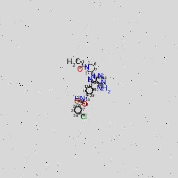 C=CC(=O)N1CCCC(n2nc(-c3ccc(CNS(=O)(=O)c4cccc(Cl)c4)cc3)c3c(N)ncnc32)C1